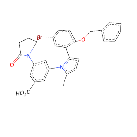 Cc1ccc(-c2cc(Br)ccc2OCc2ccccc2)n1-c1cc(C(=O)O)cc(N2CCCC2=O)c1